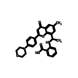 Cc1cc(C(C)Nc2ccccc2C(=O)O)c2oc(-c3ccc(N4CCOCC4)cc3)cc(=O)c2c1